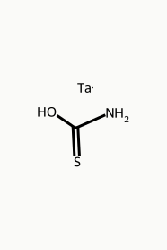 NC(O)=S.[Ta]